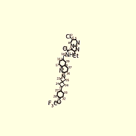 CCc1nc2ncc(Cl)cn2c1C(=O)NCc1ccc2nc(N3CC4(CC(c5ccc(OC(F)(F)F)cc5)C4)C3)ccc2c1